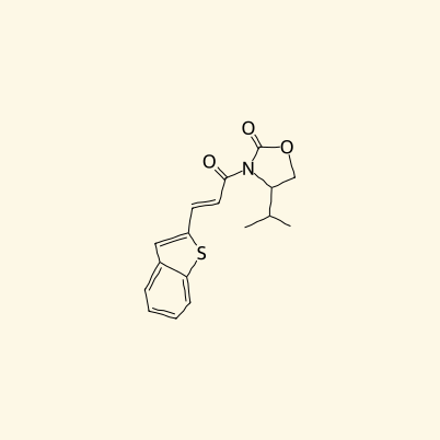 CC(C)C1COC(=O)N1C(=O)C=Cc1cc2ccccc2s1